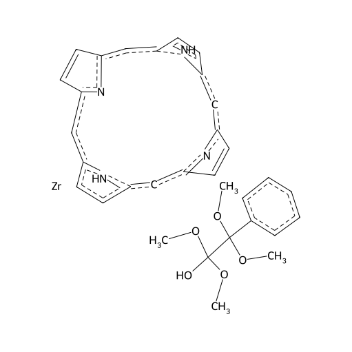 C1=Cc2cc3ccc(cc4nc(cc5ccc(cc1n2)[nH]5)C=C4)[nH]3.COC(O)(OC)C(OC)(OC)c1ccccc1.[Zr]